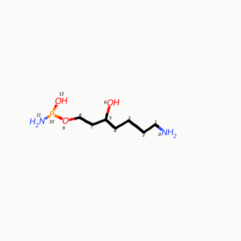 NCCCCC(O)CCOP(N)O